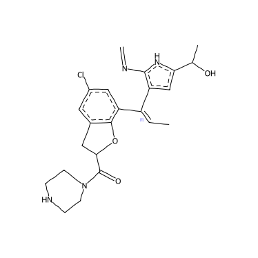 C=Nc1[nH]c(C(C)O)cc1/C(=C\C)c1cc(Cl)cc2c1OC(C(=O)N1CCNCC1)C2